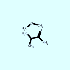 CC(C)C(N)=O.COC